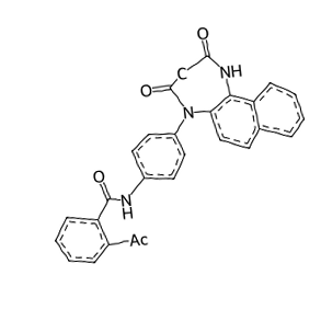 CC(=O)c1ccccc1C(=O)Nc1ccc(N2C(=O)CC(=O)Nc3c2ccc2ccccc32)cc1